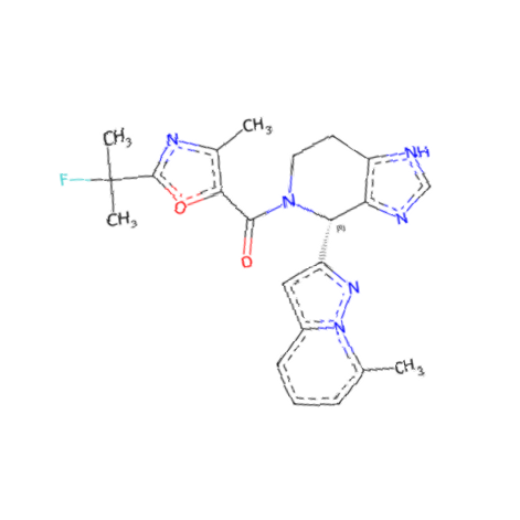 Cc1nc(C(C)(C)F)oc1C(=O)N1CCc2[nH]cnc2[C@@H]1c1cc2cccc(C)n2n1